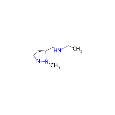 CCNCc1ccnn1C